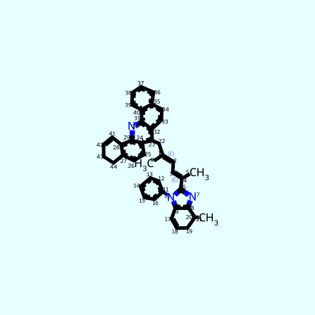 C/C(=C\C=C(/C)c1nc2c(n1-c1ccccc1)C=CCC2C)Cc1c2ccc3c(c2nc2c1ccc1ccccc12)C=CCC3